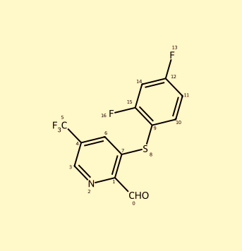 O=Cc1ncc(C(F)(F)F)cc1Sc1ccc(F)cc1F